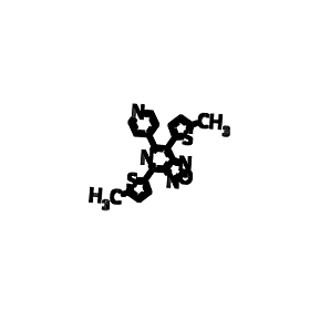 Cc1ccc(-c2nc(-c3ccncc3)c(-c3ccc(C)s3)c3nonc23)s1